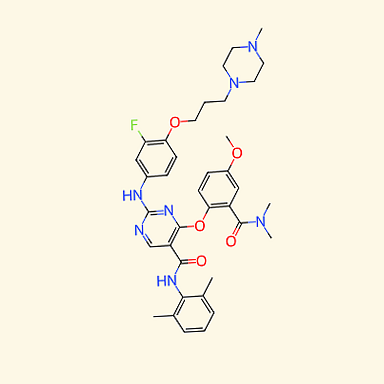 COc1ccc(Oc2nc(Nc3ccc(OCCCN4CCN(C)CC4)c(F)c3)ncc2C(=O)Nc2c(C)cccc2C)c(C(=O)N(C)C)c1